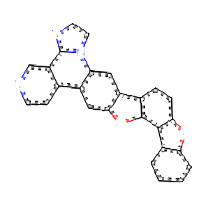 c1ccc2c(c1)oc1ccc3c4cc5c(cc4oc3c12)c1ccncc1c1nccn51